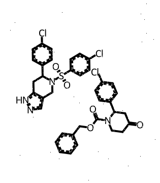 O=C1CCN(C(=O)OCc2ccccc2)C(c2ccc(Cl)cc2)C1.O=S(=O)(c1ccc(Cl)cc1)N1Cc2cn[nH]c2CC1c1ccc(Cl)cc1